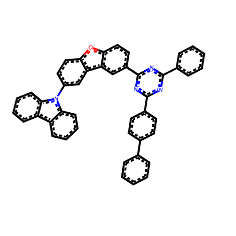 c1ccc(-c2ccc(-c3nc(-c4ccccc4)nc(-c4ccc5oc6ccc(-n7c8ccccc8c8ccccc87)cc6c5c4)n3)cc2)cc1